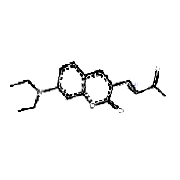 CCN(CC)c1ccc2cc(/C=C/C(C)=O)c(=O)oc2c1